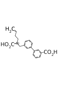 C=CCC[C@@H](Cc1cccc(-c2cccc(C(=O)O)c2)c1)C(=O)O